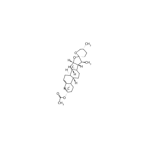 CC(=O)O[C@H]1CC[C@@]2(C)C(=CC[C@H]3[C@@H]4C[C@@H]5O[C@]6(CC[C@@H](C)CO6)[C@@H](C)[C@@H]5[C@@]4(C)CC[C@@H]32)C1